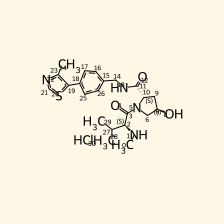 CN[C@H](C(=O)N1C[C@H](O)C[C@H]1C(=O)NCc1ccc(-c2scnc2C)cc1)C(C)C.Cl